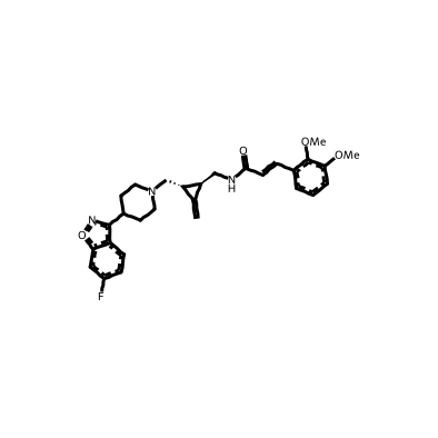 C=C1[C@H](CNC(=O)/C=C/c2cccc(OC)c2OC)[C@H]1CN1CCC(c2noc3cc(F)ccc23)CC1